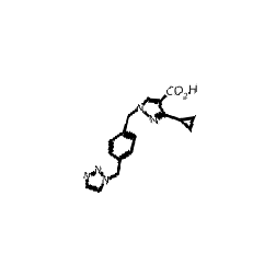 O=C(O)c1cn(Cc2ccc(Cn3ccnn3)cc2)nc1C1CC1